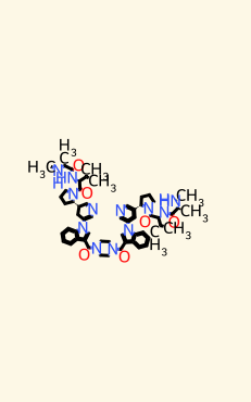 CN[C@@H](C)C(=O)N[C@H](C(=O)N1CCC[C@H]1c1cncc(-n2cc(C(=O)N3CCN(C(=O)c4cn(C5=CN=CC([C@@H]6CCCN6C(=O)[C@@H](NC(=O)[C@H](C)NC)C(C)C)C5)c5ccccc45)CC3)c3ccccc32)c1)C(C)C